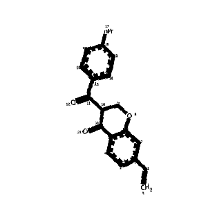 C=Cc1ccc2c(c1)OCC(C(=O)c1ccc(CCC)cc1)C2=O